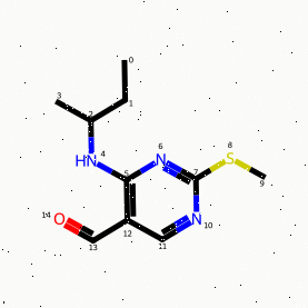 CCC(C)Nc1nc(SC)ncc1C=O